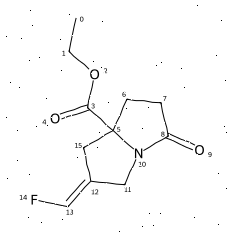 CCOC(=O)C12CCC(=O)N1C/C(=C/F)C2